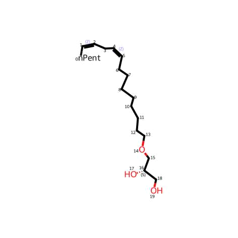 CCCCC/C=C\C/C=C\CCCCCCCCOC[C@@H](O)CO